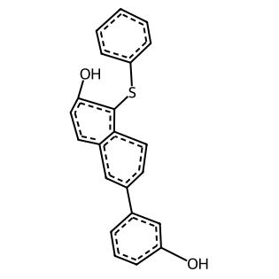 Oc1cccc(-c2ccc3c(Sc4ccccc4)c(O)ccc3c2)c1